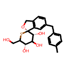 Cc1ccc(Cc2ccc3c(c2)[C@]2(OC3)SC(CO)[C@@H](O)C(O)[C@H]2O)cc1